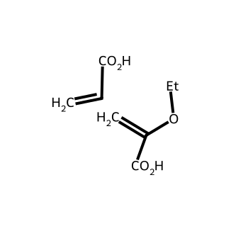 C=C(OCC)C(=O)O.C=CC(=O)O